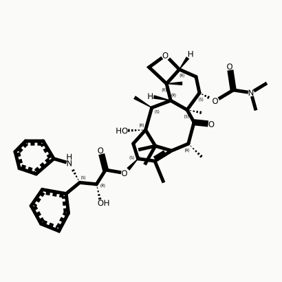 CC1=C2[C@@H](C)C(=O)[C@]3(C)[C@@H](OC(=O)N(C)C)C[C@H]4OC[C@@]4(C)[C@H]3[C@H](C)[C@](O)(C[C@@H]1OC(=O)[C@H](O)[C@@H](Nc1ccccc1)c1ccccc1)C2(C)C